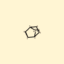 C1CC2CCC1P2